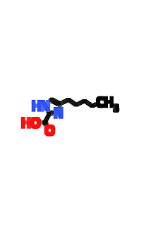 CCCCCc1c[nH]c(C(=O)O)n1